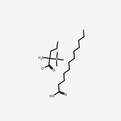 CCCC(N)(C(=O)[O-])[N+](C)(C)C.CCCCCCCCCCCC(=O)O